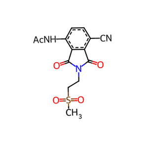 CC(=O)Nc1ccc(C#N)c2c1C(=O)N(CCS(C)(=O)=O)C2=O